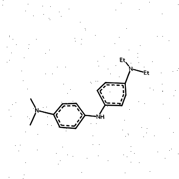 CCN(CC)c1ccc(Nc2ccc(N(C)C)cc2)cc1